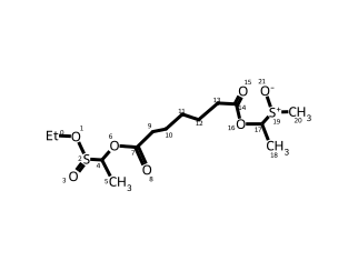 CCOS(=O)C(C)OC(=O)CCCCCC(=O)OC(C)[S+](C)[O-]